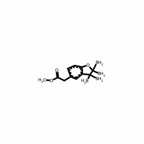 BC1(B)Oc2ccc(CC(=O)OC)cc2C1(B)B